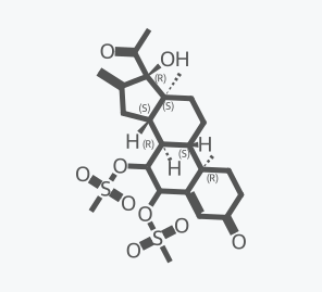 C=C1C[C@H]2[C@@H]3C(OS(C)(=O)=O)C(OS(C)(=O)=O)C4=CC(=O)CC[C@]4(C)[C@H]3CC[C@]2(C)[C@@]1(O)C(C)=O